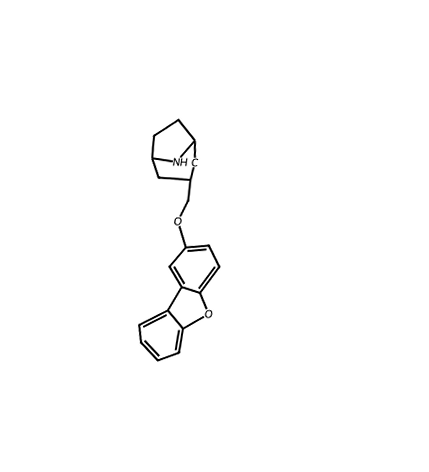 c1ccc2c(c1)oc1ccc(OCC3CC4CCC(C3)N4)cc12